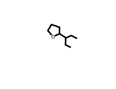 CCC(CC)C1CCCO1